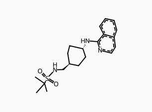 CC(C)(C)S(=O)(=O)NC[C@H]1CC[C@H](Nc2nccc3ccccc23)CC1